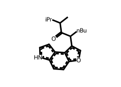 CCCCC(C(=O)C(C)C(C)C)c1coc2ccc3[nH]ccc3c12